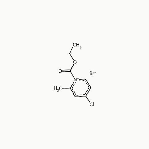 CCOC(=O)[n+]1ccc(Cl)cc1C.[Br-]